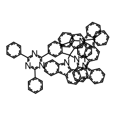 c1ccc(-c2ccc3c(c2)C(n2c4ccccc4c4ccc5c6ccccc6n(-c6ccccc6)c5c42)(n2c4ccccc4c4ccc5c6ccccc6n(-c6ccccc6)c5c42)c2cc(-c4nc(-c5ccccc5)nc(-c5ccccc5)n4)ccc2-3)cc1